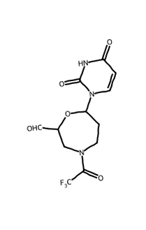 O=CC1CN(C(=O)C(F)(F)F)CCC(n2ccc(=O)[nH]c2=O)O1